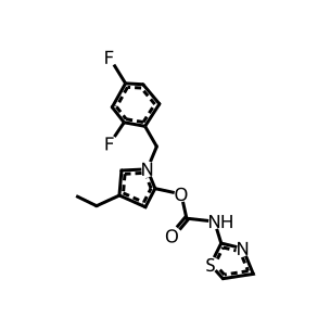 CCc1cc(OC(=O)Nc2nccs2)n(Cc2ccc(F)cc2F)c1